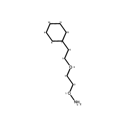 NOCCOCCC1CCCCC1